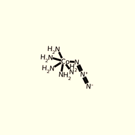 [N-]=[N+]=[N][Co]([NH2])([NH2])([NH2])([NH2])[NH2]